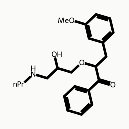 CCCNCC(O)COC(Cc1cccc(OC)c1)C(=O)c1ccccc1